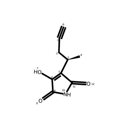 C#CC[C@@H](C)C1=C(O)C(=O)NC1=O